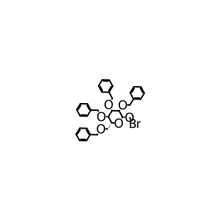 BrO[C@H]1O[C@H](COCc2ccccc2)[C@@H](OCc2ccccc2)[C@H](OCc2ccccc2)[C@H]1OCc1ccccc1